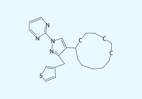 c1cnc(-n2cc(C3CCCCCCCCCCC3)c(Cc3ccsc3)n2)nc1